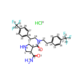 Cl.NC(=O)C1CNCC1C(=O)N(CCc1ccc(C(F)(F)F)cc1)CCc1ccc(C(F)(F)F)cc1